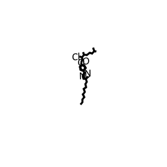 CCCCCCCCCCc1cnc(-c2ccc(OC(=O)C(Cl)C(C)CCCC(C)C)cc2)nc1